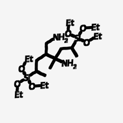 CCO[Si](OCC)(OCC)C(C)CC(CN)C(C)(N)CC(C)[Si](OCC)(OCC)OCC